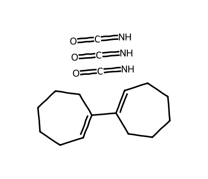 C1=C(C2=CCCCCC2)CCCCC1.N=C=O.N=C=O.N=C=O